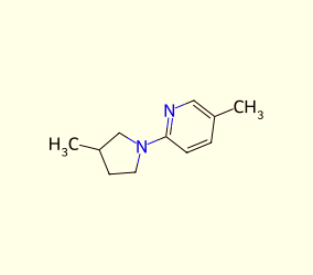 Cc1ccc(N2CCC(C)C2)nc1